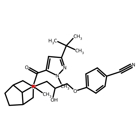 CN(C(=O)c1cc(C(C)(C)C)nn1C)C1C2CCC1CN(CC(O)COc1ccc(C#N)cc1)C2